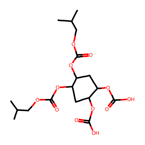 CC(C)COC(=O)OC1CC(OC(=O)O)C(OC(=O)O)CC1OC(=O)OCC(C)C